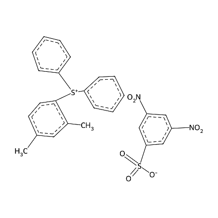 Cc1ccc([S+](c2ccccc2)c2ccccc2)c(C)c1.O=[N+]([O-])c1cc([N+](=O)[O-])cc(S(=O)(=O)[O-])c1